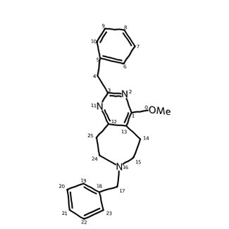 COc1nc(Cc2ccccc2)nc2c1CCN(Cc1ccccc1)CC2